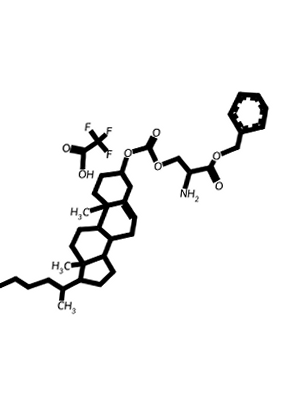 CC(C)CCCC(C)C1CCC2C3CC=C4CC(OC(=O)OCC(N)C(=O)OCc5ccccc5)CCC4(C)C3CCC12C.O=C(O)C(F)(F)F